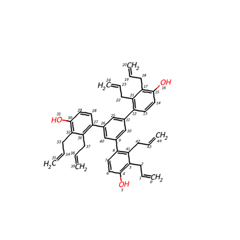 C=CCc1c(O)ccc(-c2cc(-c3ccc(O)c(CC=C)c3CC=C)cc(-c3ccc(O)c(CC=C)c3CC=C)c2)c1CC=C